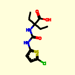 CCC(CC)(NC(=O)Nc1ccc(Cl)s1)C(=O)O